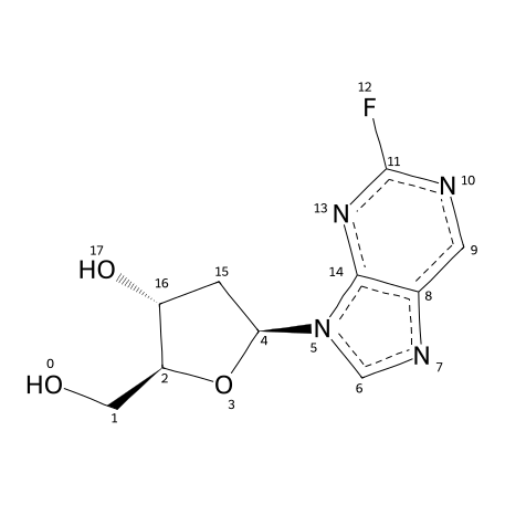 OC[C@@H]1O[C@H](n2cnc3cnc(F)nc32)C[C@H]1O